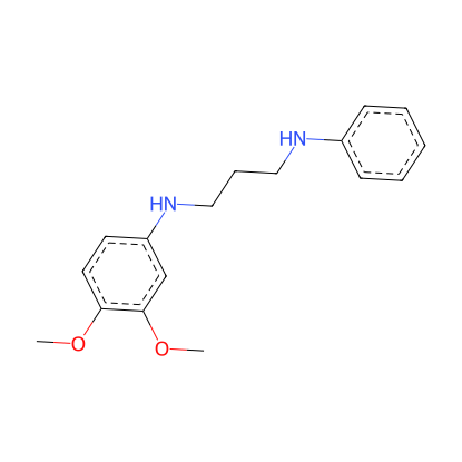 COc1ccc(NCCCNc2ccccc2)cc1OC